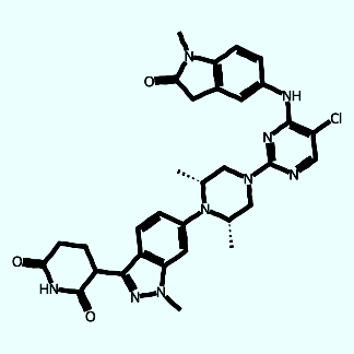 C[C@@H]1CN(c2ncc(Cl)c(Nc3ccc4c(c3)CC(=O)N4C)n2)C[C@H](C)N1c1ccc2c(C3CCC(=O)NC3=O)nn(C)c2c1